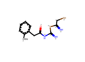 COc1ccccc1CC(=O)NC(=N)SC(=N)CS